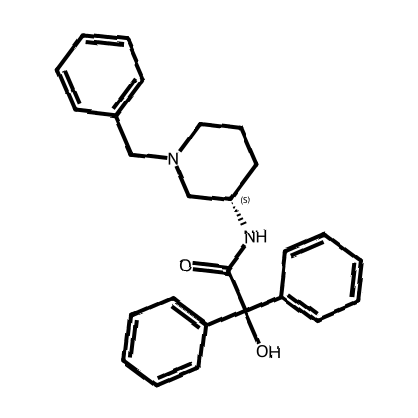 O=C(N[C@H]1CCCN(Cc2ccccc2)C1)C(O)(c1ccccc1)c1ccccc1